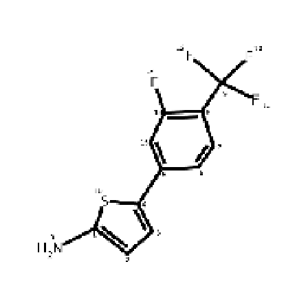 Nc1ccc(-c2ccc(C(F)(F)F)c(F)c2)s1